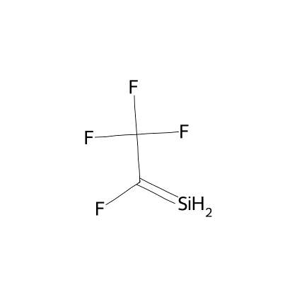 FC(=[SiH2])C(F)(F)F